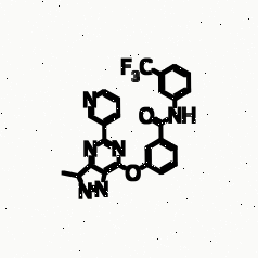 CC1N=Nc2c(Oc3cccc(C(=O)Nc4cccc(C(F)(F)F)c4)c3)nc(-c3cccnc3)nc21